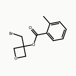 Cc1ccccc1C(=O)OC1(CBr)COC1